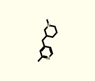 Cc1cc(C[C]2CCCN(C)C2)ccn1